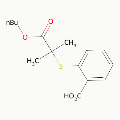 CCCCOC(=O)C(C)(C)Sc1ccccc1C(=O)O